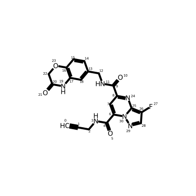 C#CCNC(=O)c1cc(C(=O)NCc2ccc3c(c2)NC(=O)CO3)nc2c(F)cnn12